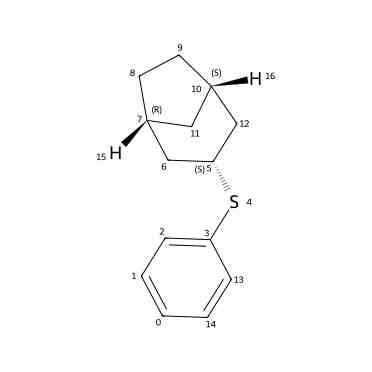 c1ccc(S[C@@H]2C[C@@H]3CC[C@@H](C3)C2)cc1